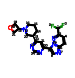 FC(F)c1ccc2ncc(-c3cc([C@@H]4CCCN(C5COC5)C4)ncn3)n2n1